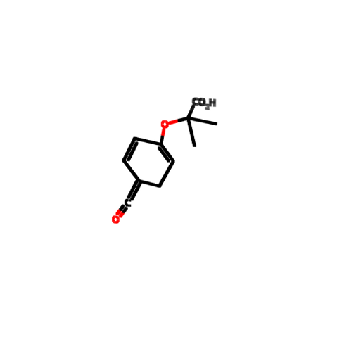 CC(C)(OC1=CCC(=C=O)C=C1)C(=O)O